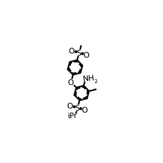 Cc1cc(S(=O)(=O)C(C)C)cc(Oc2ccc(S(C)(=O)=O)cc2)c1N